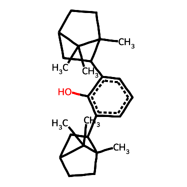 CC1(C)C2CCC1(C)C(c1cccc(C3CC4CCC3(C)C4(C)C)c1O)C2